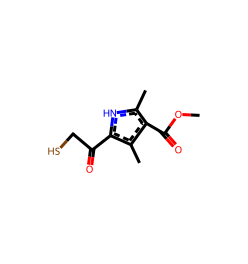 COC(=O)c1c(C)[nH]c(C(=O)CS)c1C